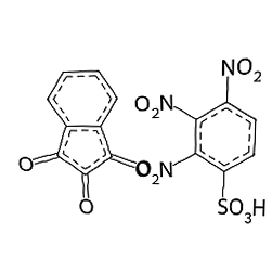 O=[N+]([O-])c1ccc(S(=O)(=O)O)c([N+](=O)[O-])c1[N+](=O)[O-].O=c1c(=O)c2ccccc2c1=O